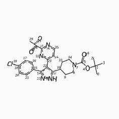 CC(C)(C)OC(=O)N1CCC(c2[nH]nc(-c3ccc(Cl)cc3)c2-c2ccnc(S(C)(=O)=O)n2)CC1